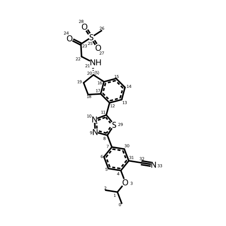 CC(C)Oc1ccc(-c2nnc(-c3cccc4c3CC[C@@H]4NCC(=O)S(C)(=O)=O)s2)cc1C#N